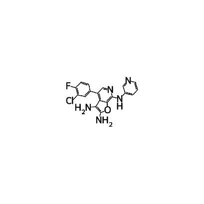 Nc1oc2c(Nc3cccnc3)ncc(-c3ccc(F)c(Cl)c3)c2c1N